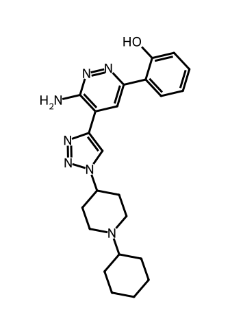 Nc1nnc(-c2ccccc2O)cc1-c1cn(C2CCN(C3CCCCC3)CC2)nn1